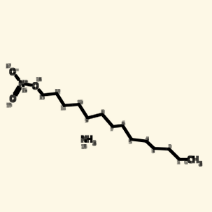 CCCCCCCCCCCCCCO[N+](=O)[O-].N